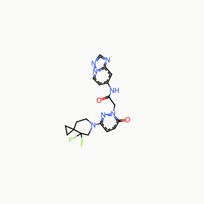 O=C(Cn1nc(N2CCC3(CC3)C(F)(F)C2)ccc1=O)Nc1ccn2ncnc2c1